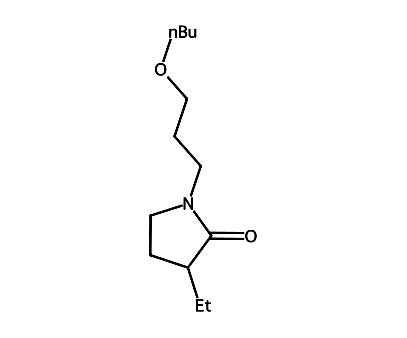 CCCCOCCCN1CCC(CC)C1=O